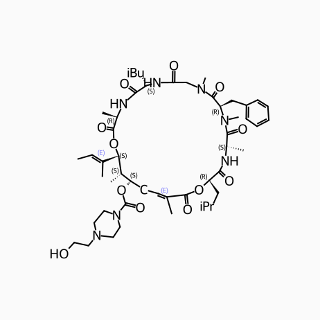 C/C=C(\C)[C@H]1OC(=O)[C@@H](C)NC(=O)[C@H](C(C)CC)NC(=O)CN(C)C(=O)[C@@H](Cc2ccccc2)N(C)C(=O)[C@H](C)NC(=O)[C@@H](CC(C)C)OC(=O)/C(C)=C/C[C@H](OC(=O)N2CCN(CCO)CC2)[C@@H]1C